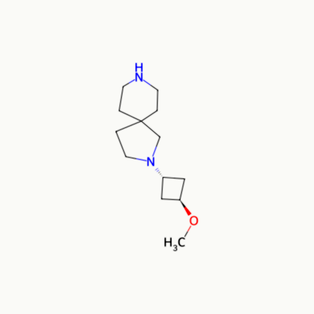 CO[C@H]1C[C@H](N2CCC3(CCNCC3)C2)C1